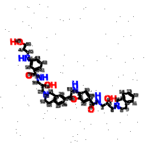 O=C(NCC(O)CN1CCc2ccccc2C1)c1ccc2c(c1)OC(c1ccc3c(c1)CN(CC(O)CNC(=O)c1cccc(NCCCO)c1)CC3)CN2